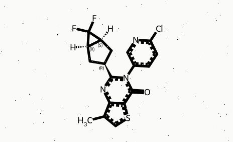 Cc1csc2c(=O)n(-c3ccc(Cl)nc3)c([C@H]3C[C@@H]4[C@H](C3)C4(F)F)nc12